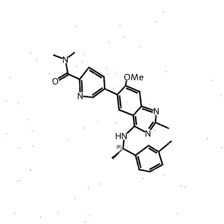 COc1cc2nc(C)nc(N[C@H](C)c3cccc(C)c3)c2cc1-c1ccc(C(=O)N(C)C)nc1